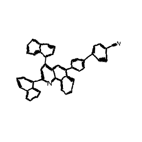 N#Cc1ccc(-c2ccc(-c3cc4c(-c5cccc6ccccc56)cc(-c5cccc6ccccc56)nc4c4ccccc34)cc2)cc1